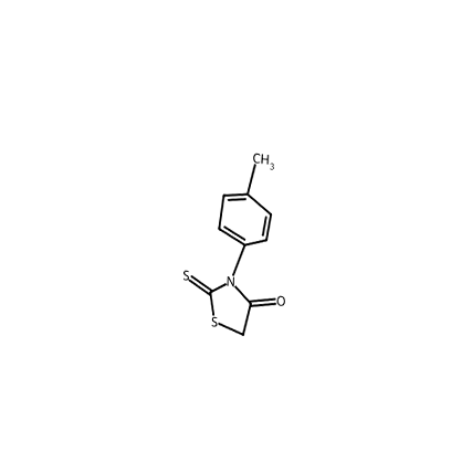 Cc1ccc(N2C(=O)CSC2=S)cc1